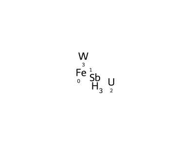 [Fe].[SbH3].[U].[W]